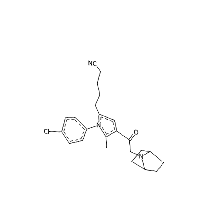 Cc1c(C(=O)CN2C3CCC2CC3)cc(CCCCC#N)n1-c1ccc(Cl)cc1